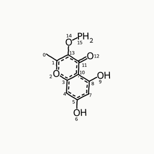 Cc1oc2cc(O)cc(O)c2c(=O)c1OP